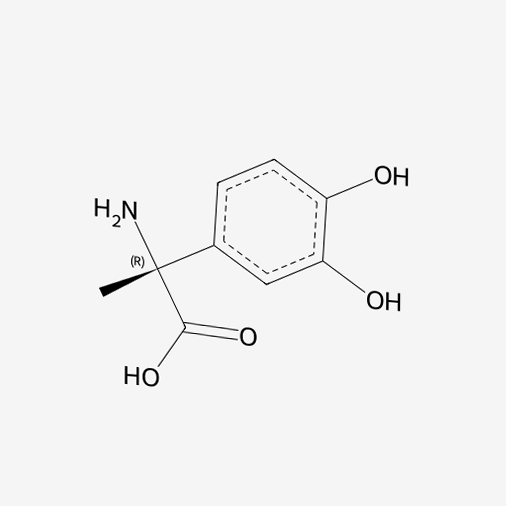 C[C@](N)(C(=O)O)c1ccc(O)c(O)c1